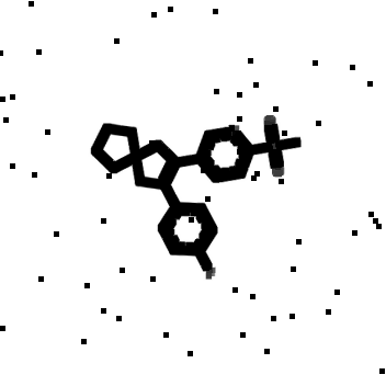 CS(=O)(=O)c1ccc(C2=C(c3ccc(F)cc3)CC3(CCCC3)C2)cn1